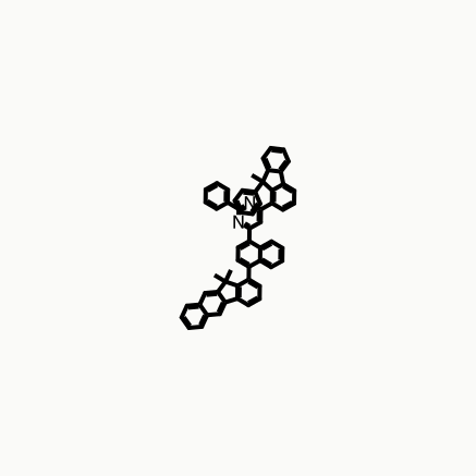 CC1(C)c2cc3ccccc3cc2-c2cccc(-c3ccc(-c4cc(-c5cccc6c5C(C)(c5ccccc5)c5ccccc5-6)nc(-c5ccccc5)n4)c4ccccc34)c21